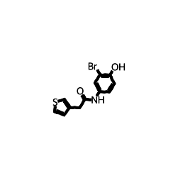 O=C(Cc1ccsc1)Nc1ccc(O)c(Br)c1